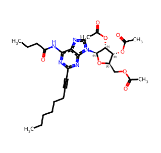 CCCCCCC#Cc1nc(NC(=O)CCC)c2ncn([C@@H]3O[C@H](COC(C)=O)[C@@H](OC(C)=O)[C@H]3OC(C)=O)c2n1